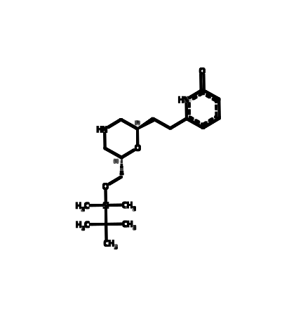 CC(C)(C)[Si](C)(C)OC[C@@H]1CNC[C@@H](CCc2cccc(=O)[nH]2)O1